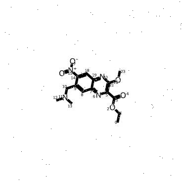 CCOC(=O)c1nc2cc(CN(C)C)c([N+](=O)[O-])cc2nc1OC